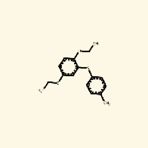 CCOc1ccc(OCC)c(Sc2ccc(C)cc2)c1